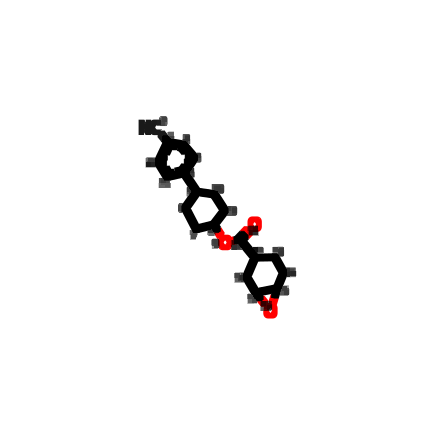 N#Cc1ccc(C2CCC(OC(=O)C3CCC4OC4C3)CC2)cc1